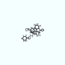 O=C(CCOc1ccccc1)N1CCN2C(=O)c3ccccc3C12c1ccc(Cl)cc1